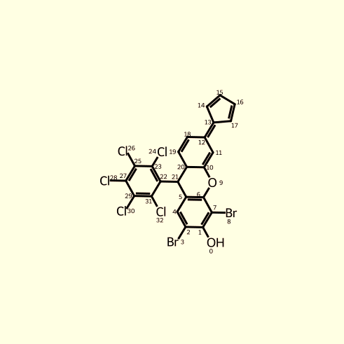 Oc1c(Br)cc2c(c1Br)OC1=CC(=C3C=CC=C3)C=CC1C2c1c(Cl)c(Cl)c(Cl)c(Cl)c1Cl